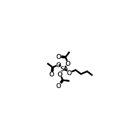 CCCC[O][Sn]([O]C(C)=O)([O]C(C)=O)[O]C(C)=O